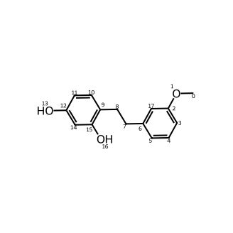 COc1cccc(CCc2ccc(O)cc2O)c1